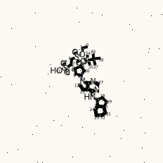 CCOS(=O)(=O)CC([C@H]1C[C@@H](n2ccc3c(N[C@H]4CCc5ccccc54)ncnc32)C[C@@H]1O[Si](C)(C)C(C)(C)C)S(=O)(=O)O